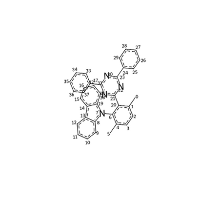 Cc1ccc(C)c(-n2c3ccccc3c3ccccc32)c1-c1nc(-c2ccccc2)nc(-c2ccccc2)n1